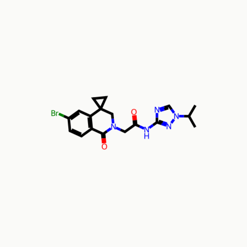 CC(C)n1cnc(NC(=O)CN2CC3(CC3)c3cc(Br)ccc3C2=O)n1